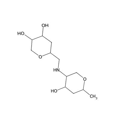 CC1CC(O)C(NCC2CC(O)C(O)CO2)CO1